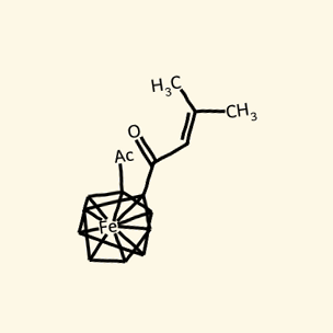 CC(=O)[C]12[CH]3[CH]4[CH]5[CH]1[Fe]45321678[CH]2[CH]1[CH]6[C]7(C(=O)C=C(C)C)[CH]28